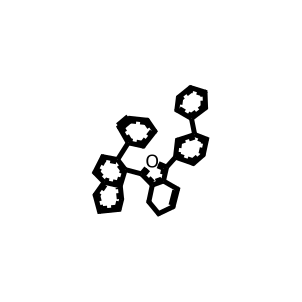 c1cccc(-c2ccc3ccccc3c2-c2oc(-c3cccc(-c4ccccc4)c3)c3c2CCC=C3)c#1